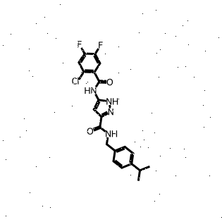 CC(C)c1ccc(CNC(=O)c2cc(NC(=O)c3cc(F)c(F)cc3Cl)[nH]n2)cc1